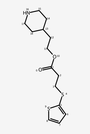 O=C(CCSc1cccs1)OCCC1CCNCC1